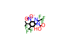 CC(C)c1c(C(F)(F)F)cc2c(nc(C(F)(F)F)n2C(=O)O)c1[N+](=O)[O-]